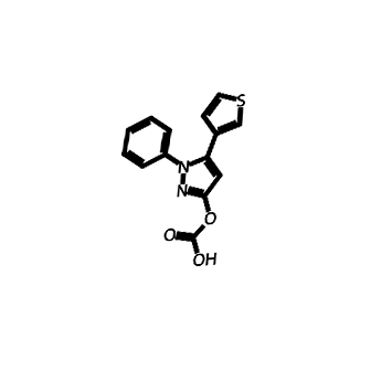 O=C(O)Oc1cc(-c2ccsc2)n(-c2ccccc2)n1